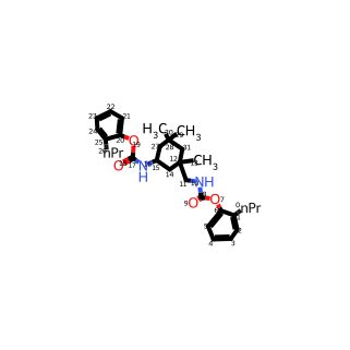 CCCc1ccccc1OC(=O)NCC1(C)CC(NC(=O)Oc2ccccc2CCC)CC(C)(C)C1